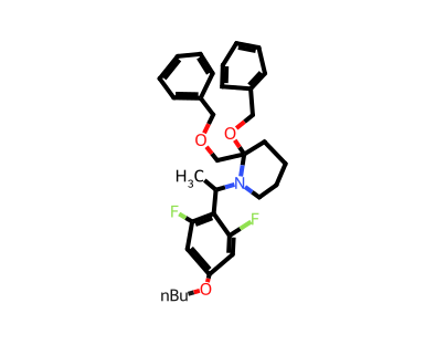 CCCCOc1cc(F)c(C(C)N2CCCCC2(COCc2ccccc2)OCc2ccccc2)c(F)c1